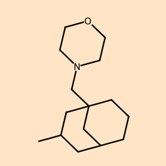 CC1CC2CCCC(CN3CCOCC3)(C1)C2